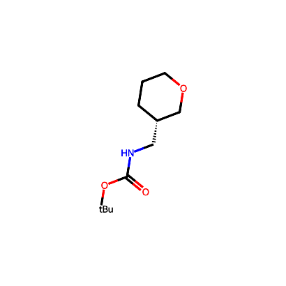 CC(C)(C)OC(=O)NC[C@@H]1CCCOC1